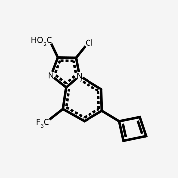 O=C(O)c1nc2c(C(F)(F)F)cc(C3=CC=C3)cn2c1Cl